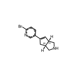 Brc1ccc(C2=C[C@@H]3CNC[C@@H]3C2)cn1